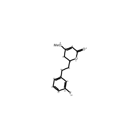 COC1=CC(=O)OC(CCc2cccc(F)c2)C1